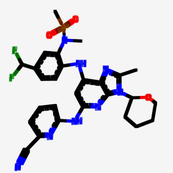 Cc1nc2c(Nc3ccc(C(F)F)cc3N(C)S(C)(=O)=O)cc(Nc3cccc(C#N)n3)nc2n1C1CCCCO1